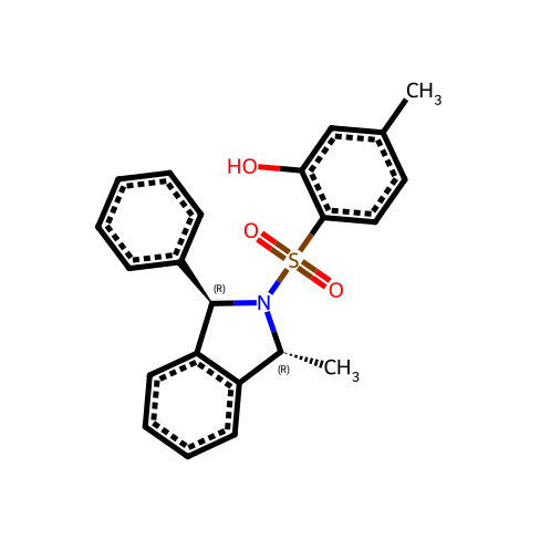 Cc1ccc(S(=O)(=O)N2[C@H](c3ccccc3)c3ccccc3[C@H]2C)c(O)c1